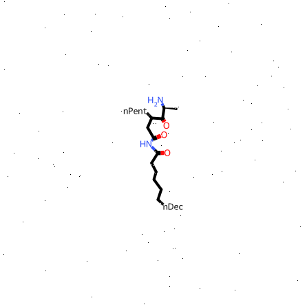 CCCCCCCCCCCCCCCC(=O)NC(=O)CC(CCCCC)C(=O)[C@H](C)N